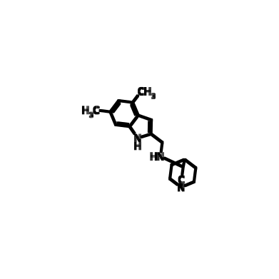 Cc1cc(C)c2cc(CNC3CN4CCC3CC4)[nH]c2c1